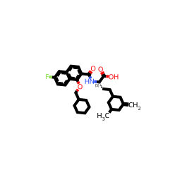 C=C1CC(C)CC(CC[C@H](NC(=O)c2ccc3cc(F)ccc3c2OCC2CCCCC2)C(=O)O)C1